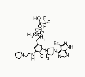 Cc1c(NCCN2CCCC2)cc(CC[Si](C)(C)C)cc1N1CCN(c2ncnc3[nH]nc(Br)c23)CC1.O=C(O)C(F)(F)F